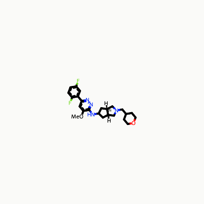 COc1cc(-c2cc(F)ccc2F)nnc1NC1C[C@@H]2CN(CC3CCOCC3)C[C@@H]2C1